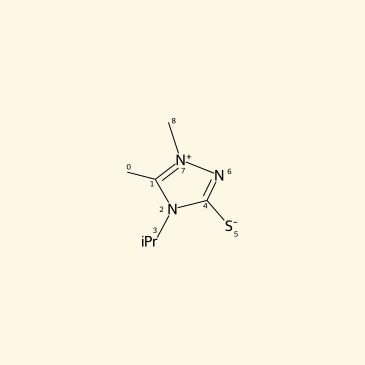 Cc1n(C(C)C)c([S-])n[n+]1C